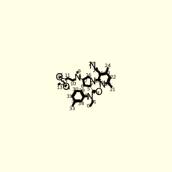 CCN(C(=O)[C@@H]1C[C@H](N(C)CCS(C)(=O)=O)CN1c1nc(C)cc(C)c1C#N)c1cccc(C)c1